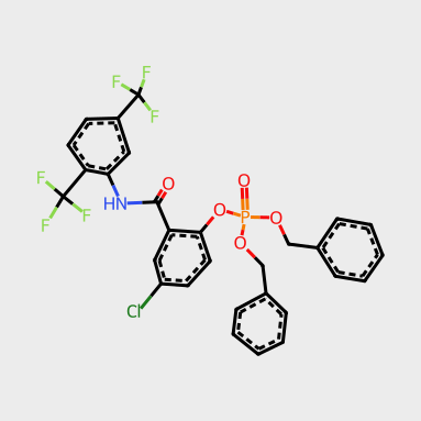 O=C(Nc1cc(C(F)(F)F)ccc1C(F)(F)F)c1cc(Cl)ccc1OP(=O)(OCc1ccccc1)OCc1ccccc1